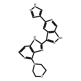 c1cc2[nH]c(-c3n[nH]c4cnc(-c5cn[nH]c5)cc34)nc2c(N2CCOCC2)n1